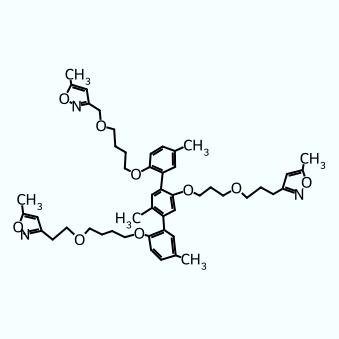 Cc1ccc(OCCCCOCCc2cc(C)on2)c(-c2cc(OCCCOCCCc3cc(C)on3)c(-c3cc(C)ccc3OCCCCOCc3cc(C)on3)cc2C)c1